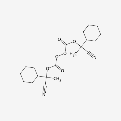 CC(C#N)(OC(=O)OOC(=O)OC(C)(C#N)C1CCCCC1)C1CCCCC1